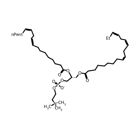 CC/C=C\C/C=C\C/C=C\CCCCCCCC(=O)OC[C@H](COP(=O)([O-])OCC[N+](C)(C)C)OC(=O)CCCCCCC/C=C\C/C=C\CCCCC